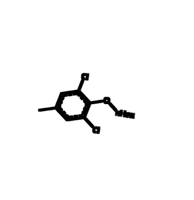 CCCCCCOc1c(Cl)cc(C)cc1Cl